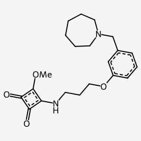 COc1c(NCCCOc2cccc(CN3CCCCCC3)c2)c(=O)c1=O